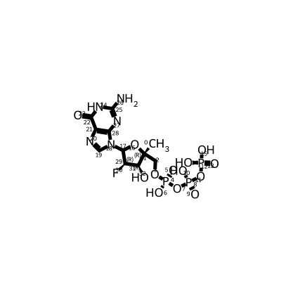 C[C@]1(COP(=O)(O)OP(=O)(O)OP(=O)(O)O)OC(n2cnc3c(=O)[nH]c(N)nc32)[C@H](F)[C@@H]1O